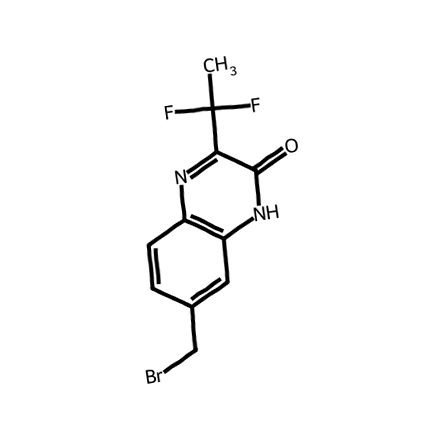 CC(F)(F)c1nc2ccc(CBr)cc2[nH]c1=O